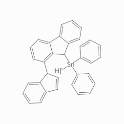 [Hf][Sn]([c]1ccccc1)([c]1ccccc1)[CH]1c2ccccc2-c2cccc(C3C=Cc4ccccc43)c21